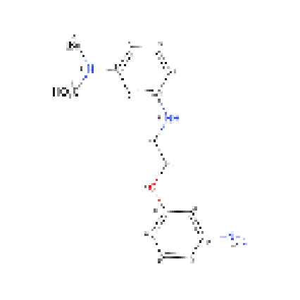 CC(C)(C)N(C(=O)O)c1cccc(NCCOc2cccc(N)c2)c1